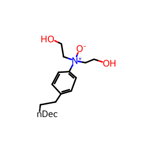 CCCCCCCCCCCCc1ccc([N+]([O-])(CCO)CCO)cc1